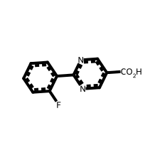 O=C(O)c1cnc(-c2ccccc2F)nc1